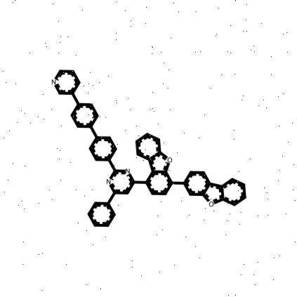 c1ccc(-c2cc(-c3ccc(-c4ccc5c(c4)oc4ccccc45)c4oc5ccccc5c34)nc(-c3ccc(-c4ccc(-c5cccnc5)cc4)cc3)n2)cc1